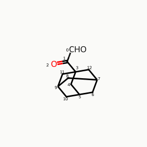 O=CC(=O)C12CC3CC(CC(C3)C1)C2